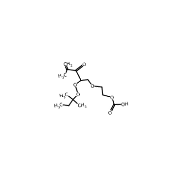 C=C(C)C(=O)C(COCCOC(=O)O)OOC(C)(C)CC